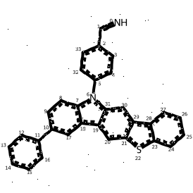 N=Cc1ccc(-n2c3ccc(-c4ccccc4)cc3c3cc4sc5ccccc5c4cc32)cc1